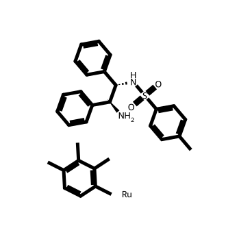 Cc1ccc(C)c(C)c1C.Cc1ccc(S(=O)(=O)N[C@@H](c2ccccc2)[C@@H](N)c2ccccc2)cc1.[Ru]